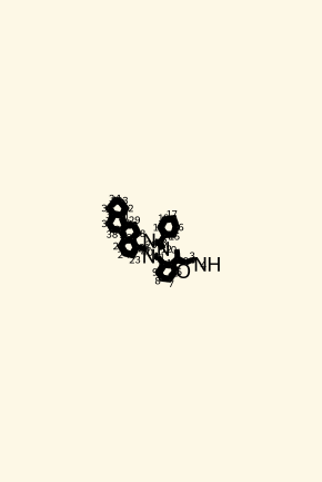 Cc1c(C=N)oc2cccc(-c3nc(-c4ccccc4)nc(-c4cccc5c4ccc4c6ccccc6ccc54)n3)c12